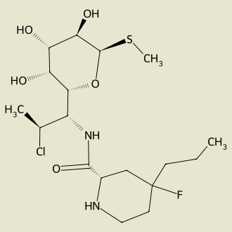 CCCC1(F)CCN[C@H](C(=O)N[C@@H]([C@H]2O[C@H](SC)[C@H](O)[C@@H](O)[C@H]2O)[C@H](C)Cl)C1